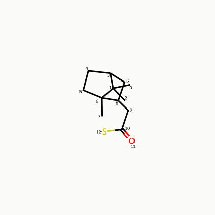 CC1(C)C2CCC1(C)C(CC(=O)[S])C2